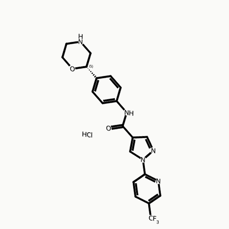 Cl.O=C(Nc1ccc([C@H]2CNCCO2)cc1)c1cnn(-c2ccc(C(F)(F)F)cn2)c1